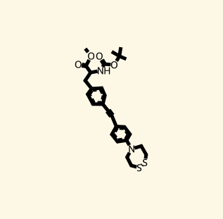 COC(=O)C(Cc1ccc(C#Cc2ccc(N3CCSSCC3)cc2)cc1)NC(=O)OC(C)(C)C